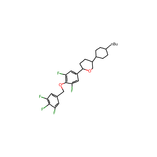 CCCCC1CCC(C2CCC(c3cc(F)c(OCc4cc(F)c(F)c(F)c4)c(F)c3)OC2)CC1